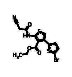 CCOC(=O)c1c(-c2ccc(Br)s2)csc1NC(=O)CC#N